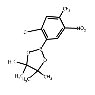 CC1(C)OB(c2cc([N+](=O)[O-])c(C(F)(F)F)cc2Cl)OC1(C)C